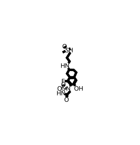 C[SH](C)(=O)CCCNC1CCc2cc(O)c(N3CC(=O)NS3(=O)=O)c(F)c2C1